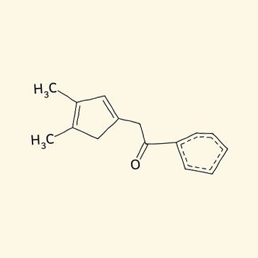 CC1=C(C)CC(CC(=O)c2ccccc2)=C1